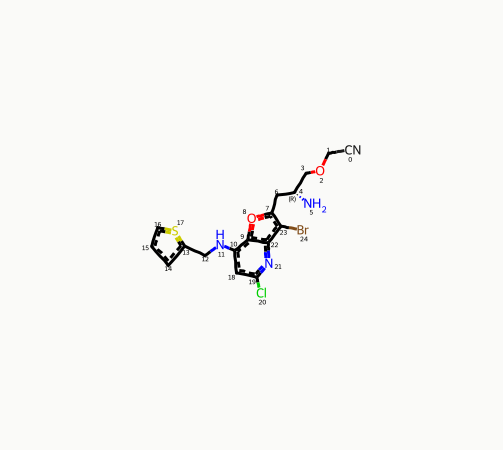 N#CCOC[C@H](N)Cc1oc2c(NCc3cccs3)cc(Cl)nc2c1Br